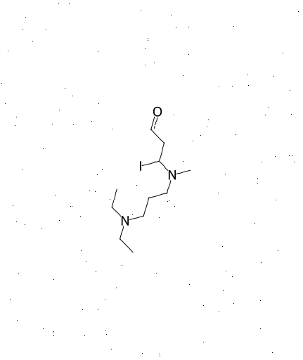 CCN(CC)CCCN(C)C(I)CC=O